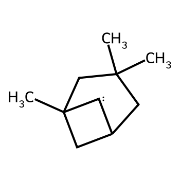 CC1(C)CC2[C]C(C)(C2)C1